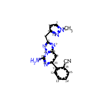 Cn1ccc(Cc2nc3cc(-c4ccccc4C#N)nc(N)n3n2)n1